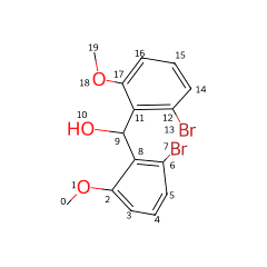 COc1cccc(Br)c1C(O)c1c(Br)cccc1OC